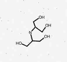 OCC(CO)[N]C(CO)CO